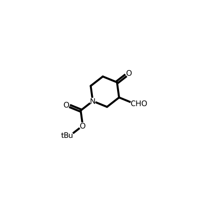 CC(C)(C)OC(=O)N1CCC(=O)C(C=O)C1